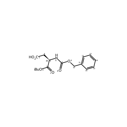 CC(C)COC(=O)[C@@H](CC(=O)O)NC(=O)OCc1ccccc1